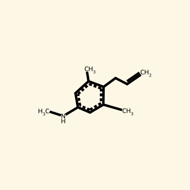 C=CCc1c(C)cc(NC)cc1C